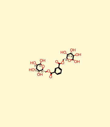 O=C(OC[C@H]1O[C@H](O)[C@H](O)[C@@H](O)[C@H]1O)c1cccc(C(=O)OC[C@H]2O[C@H](O)[C@H](O)[C@@H](O)[C@H]2O)c1